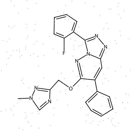 Cn1cnc(COc2nn3c(-c4ccccc4F)nnc3cc2-c2ccccc2)n1